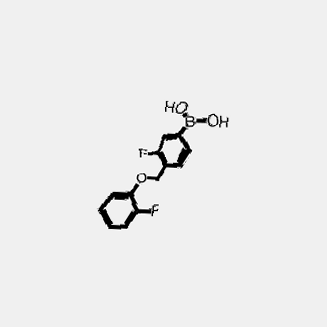 OB(O)c1ccc(COc2ccccc2F)c(F)c1